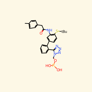 Cc1ccc(CC(=O)Nc2cc(-c3ccccc3-c3nnnn3COP(O)O)ccc2SC(C)(C)C)cc1